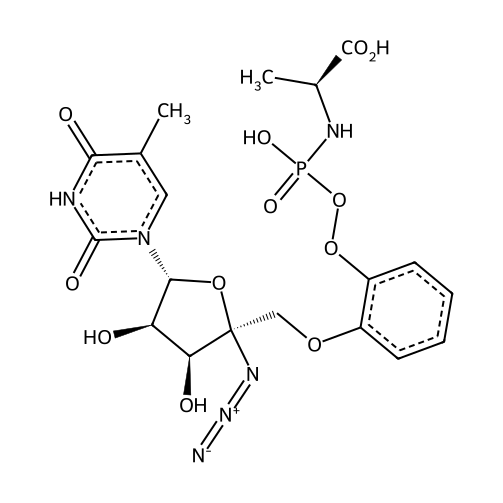 Cc1cn([C@@H]2O[C@@](COc3ccccc3OOP(=O)(O)N[C@@H](C)C(=O)O)(N=[N+]=[N-])[C@@H](O)[C@H]2O)c(=O)[nH]c1=O